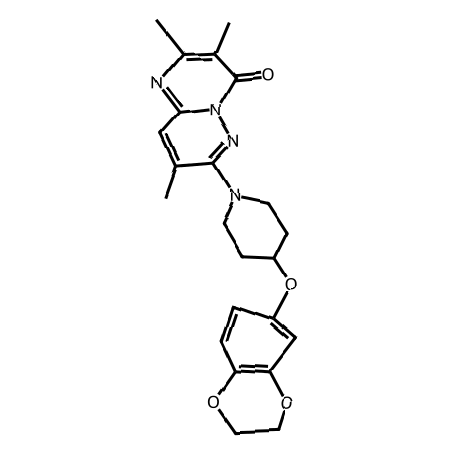 Cc1cc2nc(C)c(C)c(=O)n2nc1N1CCC(Oc2ccc3c(c2)OCCO3)CC1